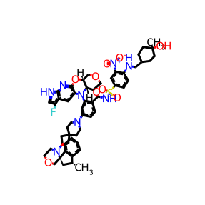 C[C@@H]1C[C@]2(COCCN2C2CC3(CCN(c4ccc(C(=O)NS(=O)(=O)c5ccc(NCC6CCC(C)(O)CC6)c([N+](=O)[O-])c5)c(N5c6cc7c(F)c[nH]c7nc6O[C@H]6COCC[C@@H]65)c4)CC3)C2)c2ccccc21